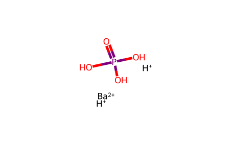 O=P(O)(O)O.[Ba+2].[H+].[H+]